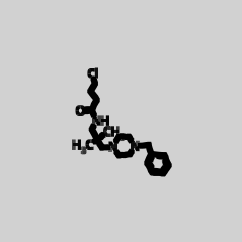 CC(C)(CNC(=O)CCCCl)CN1CCN(Cc2ccccc2)CC1